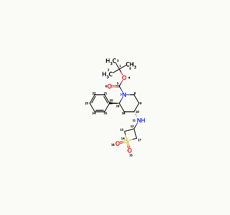 CC(C)(C)OC(=O)N1CC[C@H](NC2CS(=O)(=O)C2)C[C@H]1c1ccccc1